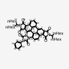 CCCCCCC(CCCCCC)n1c(=O)c2cc3c4cccc5c6c(=O)n(C(CCCCCC)CCCCCC)c(=O)c6c6c(c45)c4c3c(ccc4n3c(=O)n(-c4ccccc4)c(=O)n63)c2c1=O